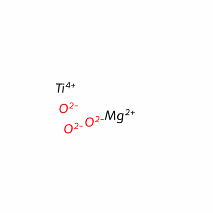 [Mg+2].[O-2].[O-2].[O-2].[Ti+4]